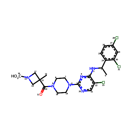 CC(Nc1nc(N2CCN(C(=O)C3(C)CN(C(=O)O)C3)CC2)ncc1Cl)c1ccc(Cl)cc1Cl